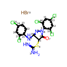 Br.N=C(N)SC1C(=O)N(c2c(Cl)cc(Cl)cc2Cl)N=C1Nc1ccc(Cl)cc1Cl